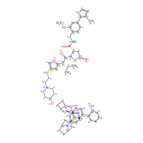 COc1cc(-c2scnc2C)ccc1CNC(=O)[C@@H]1C[C@@H](O)CN1C(=O)[C@@H](c1cc(OCCN2CCC(O[C@H]3C[C@H](Oc4cc(N5C6CCC5CN(c5cc(-c7ccccc7O)nnc5N)C6)ccn4)C3)CC2)no1)C(C)C